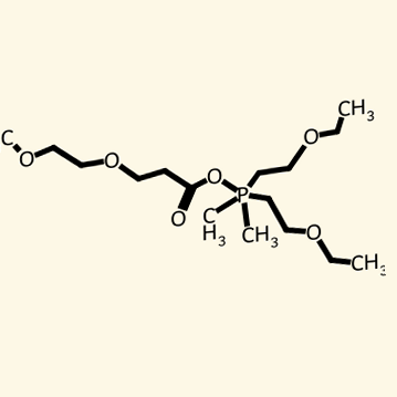 CCOCCP(C)(C)(CCOCC)OC(=O)CCOCCOC